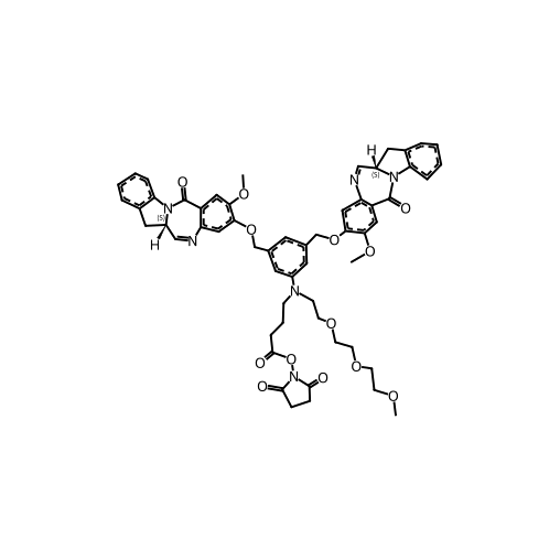 COCCOCCOCCN(CCCC(=O)ON1C(=O)CCC1=O)c1cc(COc2cc3c(cc2OC)C(=O)N2c4ccccc4C[C@H]2C=N3)cc(COc2cc3c(cc2OC)C(=O)N2c4ccccc4C[C@H]2C=N3)c1